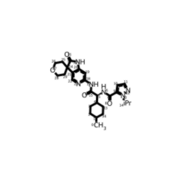 CC1CCC([C@H](NC(=O)c2ccnn2C(C)C)C(=O)Nc2cc3c(cn2)C2(CCOCC2)C(=O)N3)CC1